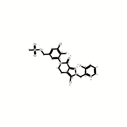 CS(=O)(=O)OCc1cc(Cl)c(F)c(N2CCc3c(nn(Cc4ncccc4F)c3Cl)C2=O)c1